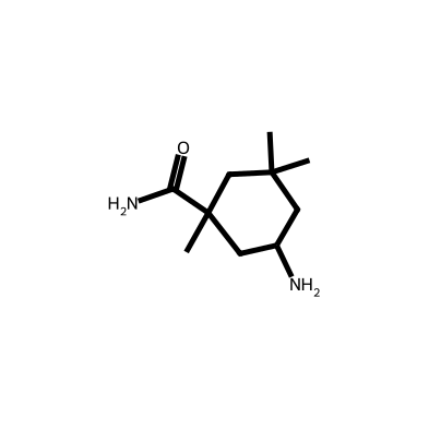 CC1(C)CC(N)CC(C)(C(N)=O)C1